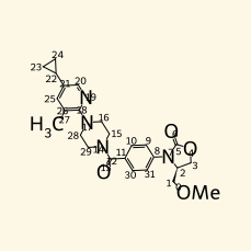 COC[C@@H]1COC(=O)N1c1ccc(C(=O)N2CCN(c3ncc(C4CC4)cc3C)CC2)cc1